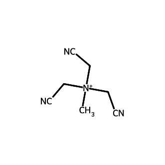 C[N+](CC#N)(CC#N)CC#N